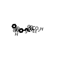 CCC(C(=O)O)N1Cc2sc(-c3ccc(NS(=O)(=O)c4ccccc4)cc3)cc2S1(=O)=O